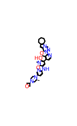 C[C@H]1CN(C2COC2)CCN1c1ccc(Nc2cc(-c3ccnc(-n4ncn5c6c(cc5c4=O)CCCCC6)c3CO)cn(C)c2=O)nc1